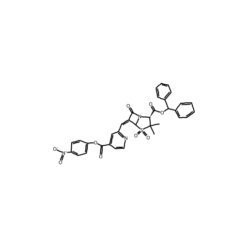 CC1(C)[C@H](C(=O)OC(c2ccccc2)c2ccccc2)N2C(=O)/C(=C/c3cc(C(=O)Oc4ccc([N+](=O)[O-])cc4)ccn3)C2S1(=O)=O